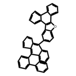 c1ccc(-c2ccccc2-c2c3ccccc3c(-c3ccc4oc5c6ccccc6c6ccccc6c5c4c3)c3ccccc23)cc1